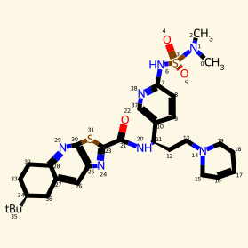 CN(C)S(=O)(=O)Nc1ccc([C@@H](CCN2CC=CCC2)NC(=O)c2nc3cc4c(nc3s2)CC[C@H](C(C)(C)C)C4)cn1